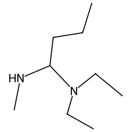 CCCC(NC)N(CC)CC